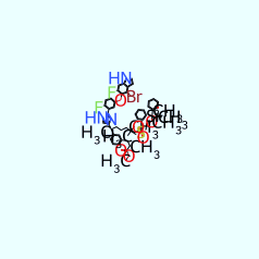 COC(=O)[C@@H](C)Cc1cccc(C(C)(CCCC(C)(C)CS(=O)(=O)CCO[Si](c2ccccc2)(c2ccccc2)C(C)(C)C)c2c[nH]c(-c3cc(Oc4c(F)cc5[nH]ccc5c4Br)ccc3F)n2)c1